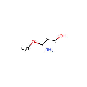 N.O=[N+]([O-])OCCCO